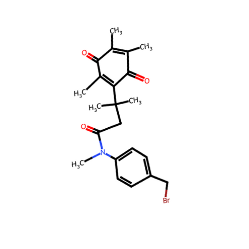 CC1=C(C)C(=O)C(C(C)(C)CC(=O)N(C)c2ccc(CBr)cc2)=C(C)C1=O